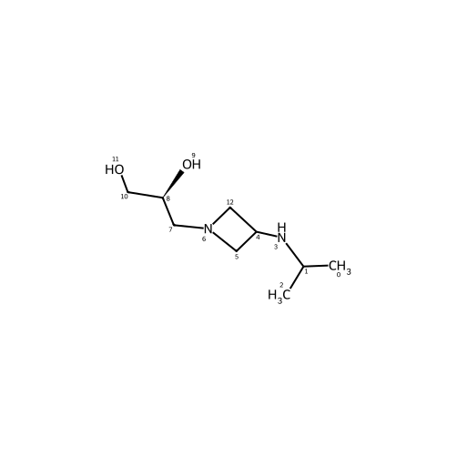 CC(C)NC1CN(C[C@H](O)CO)C1